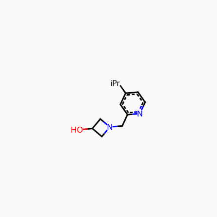 CC(C)c1ccnc(CN2CC(O)C2)c1